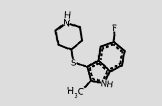 Cc1[nH]c2ccc(F)cc2c1SC1CCNCC1